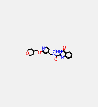 O=C(NCc1ccnc(OCC2CCOCC2)c1)c1nc2ccccc2c(=O)[nH]1